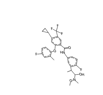 CON(C)C(O)C(C)c1cc(NC(=O)c2cc(C(F)(F)F)c(C3CC3)cc2Oc2ccc(F)cc2C)ccc1F